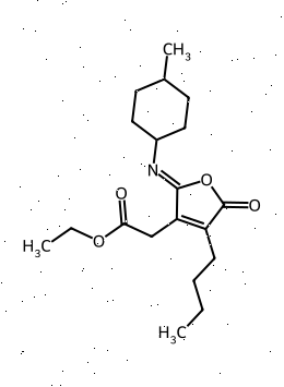 CCCCC1=C(CC(=O)OCC)/C(=N/C2CCC(C)CC2)OC1=O